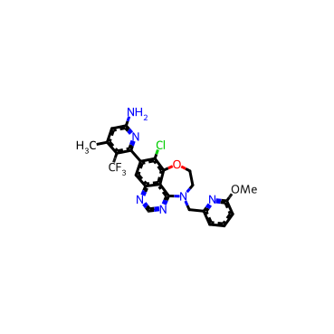 COc1cccc(CN2CCOc3c(Cl)c(-c4nc(N)cc(C)c4C(F)(F)F)cc4ncnc2c34)n1